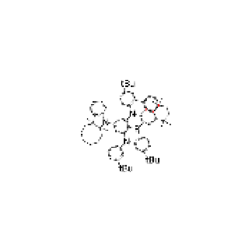 CC(C)(C)c1cccc(N2c3cc(C(C)(C)C)ccc3B3c4cc5c(cc4N(c4ccc(C(C)(C)C)cc4-c4ccccc4)c4cc(N6c7ccccc7C7(C)CCCCCCC67C)cc2c43)C(C)(C)CCC5(C)C)c1